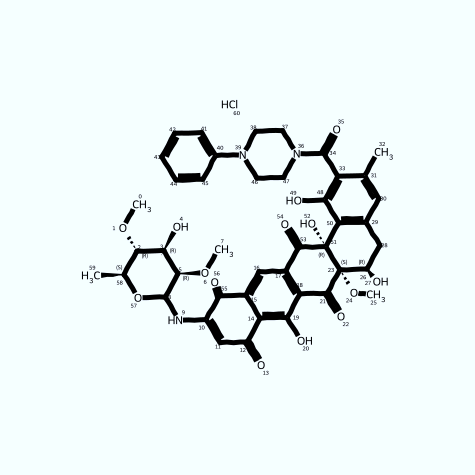 CO[C@@H]1[C@@H](O)[C@@H](OC)C(NC2=CC(=O)c3c(cc4c(c3O)C(=O)[C@]3(OC)[C@H](O)Cc5cc(C)c(C(=O)N6CCN(c7ccccc7)CC6)c(O)c5[C@]3(O)C4=O)C2=O)O[C@H]1C.Cl